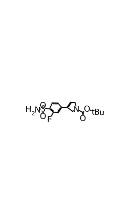 CC(C)(C)OC(=O)N1CC=C(c2ccc(S(N)(=O)=O)c(F)c2)C1